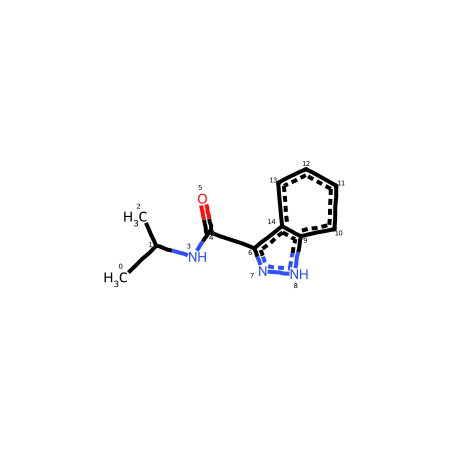 CC(C)NC(=O)c1n[nH]c2ccccc12